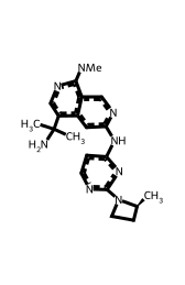 CNc1ncc(C(C)(C)N)c2cc(Nc3ccnc(N4CC[C@@H]4C)n3)ncc12